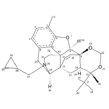 Cc1ccc2c3c1O[C@H]1[C@@]45C=C[C@@]6(C[C@@H]4[C@@](C)(C(C)(C)C)OCO5)[C@@H](C2)N(CC2CC2)CC[C@]316